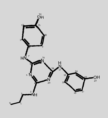 CCCNc1nc(Nc2ccc(O)cc2)nc(Nc2cccc(O)c2)n1